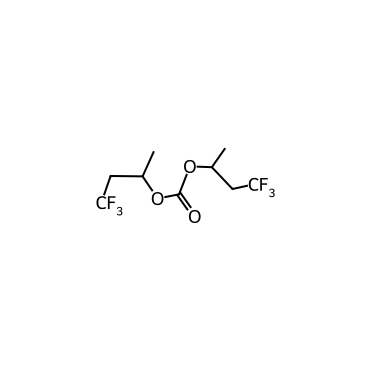 CC(CC(F)(F)F)OC(=O)OC(C)CC(F)(F)F